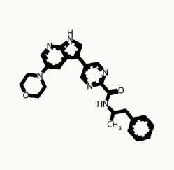 CC(Cc1ccccc1)NC(=O)c1ncc(-c2c[nH]c3ncc(N4CCOCC4)cc23)cn1